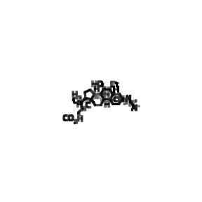 CC[C@H]1[C@@H](O)[C@@H]2[C@H](CC[C@]3(C)[C@@H]([C@H](C)CCC(=O)O)CC[C@@H]23)[C@@]2(C)CC[C@H](N=[N+]=[N-])C[C@@H]12